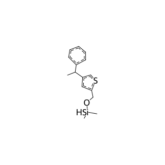 CC(c1ccccc1)c1csc(CO[SiH](C)C)c1